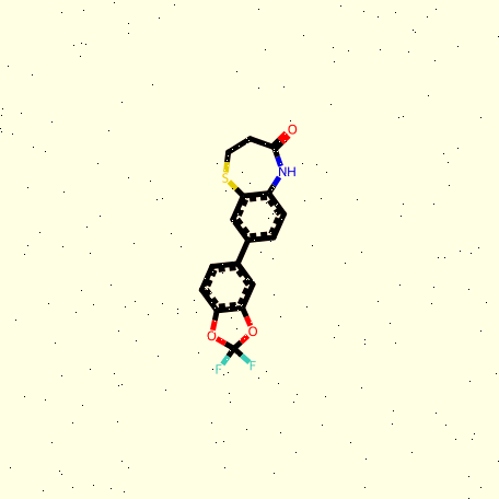 O=C1CCSc2cc(-c3ccc4c(c3)OC(F)(F)O4)ccc2N1